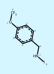 FC(F)(F)Oc1ccc(CNI)cc1